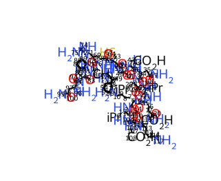 CC(C)C[C@H](NC(=O)[C@H](CCCCN)NC(=O)[C@H](CCC(N)=O)NC(=O)[C@@H](NC(=O)[C@H](CC(C)C)NC(=O)[C@H](CC(N)=O)NC(=O)[C@H](CC(=O)O)NC(=O)[C@H](Cc1c[nH]c2ccccc12)NC(=O)[C@H](CS)NC(=O)[C@H](CCCNC(=N)N)NC(=O)[C@H](C)NC(=O)[C@H](Cc1ccccc1)NC(=O)[C@@H](N)CC(N)=O)C(C)C)C(=O)N[C@@H](CCC(=O)O)C(=O)N[C@@H](CCCCN)C(=O)O